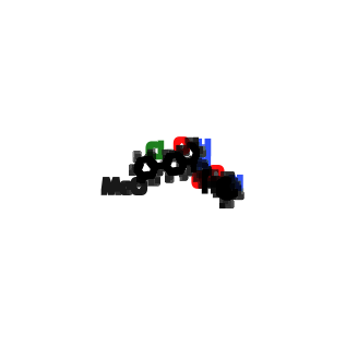 COc1ccc(Cl)c(-c2ccc3c(c2)OCCC3(C)NC(=O)O[C@H]2CN3CCC2CC3)c1